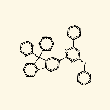 c1ccc(Oc2nc(-c3ccccc3)nc(-c3ccc4c(c3)C(c3ccccc3)(c3ccccc3)c3ccccc3-4)n2)cc1